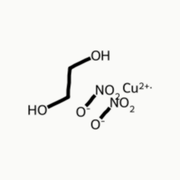 O=[N+]([O-])[O-].O=[N+]([O-])[O-].OCCO.[Cu+2]